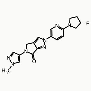 Cn1cc(N2Cc3cn(-c4ccc(N5CC[C@H](F)C5)nc4)nc3C2=O)cn1